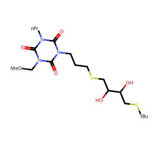 CCCn1c(=O)n(CCCSCC(O)C(O)CSC(C)(C)C)c(=O)n(COC)c1=O